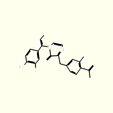 C=C(C)c1ccc(CC2=NC=CN(/C(=C\C)c3ccc(CC)c(F)c3)C2=C)cc1C